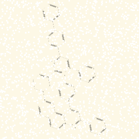 C1=C(c2nc(-c3ccccc3)cc(-c3ccc(-c4ccccc4)cc3)n2)CC(c2ccc3ccc4nc(-c5ccccc5)cc(-c5ccccc5)c4c3c2)CC1